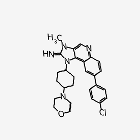 Cn1c(=N)n(C2CCC(N3CCOCC3)CC2)c2c3cc(-c4ccc(Cl)cc4)ccc3ncc21